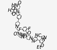 CCOc1cc(-c2ccc(N3CCC(CN4CCN(C(=O)CCN5CCC(c6ccc7c(c6)C(=O)N(C6(C)CCC(=O)NC6=O)C7)CC5)CC4)(NC(=O)c4cc(F)ccc4F)CC3)nc2)c2c(C#N)cnn2c1